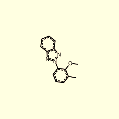 COc1c(C)cccc1-n1nc2ccccc2n1